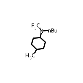 CCCCN(C1CCC(C)CC1)C(F)(F)F